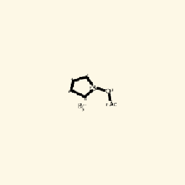 CC(=O)O[S+]1CCCC1.[Br-]